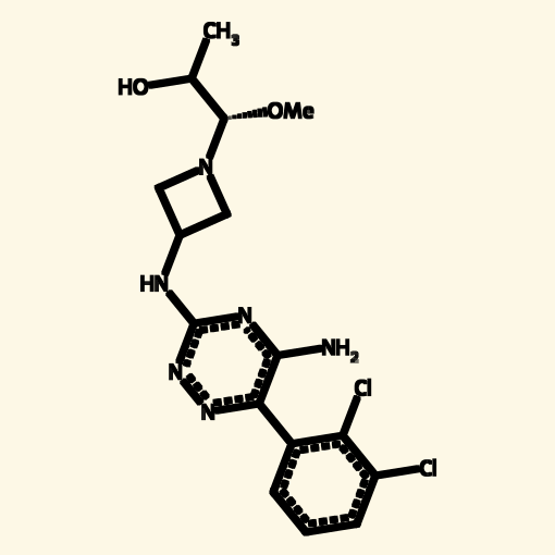 CO[C@@H](C(C)O)N1CC(Nc2nnc(-c3cccc(Cl)c3Cl)c(N)n2)C1